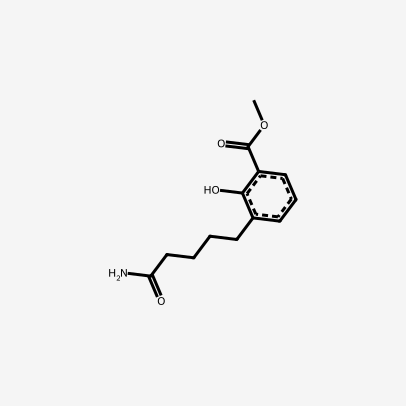 COC(=O)c1cccc(CCCCC(N)=O)c1O